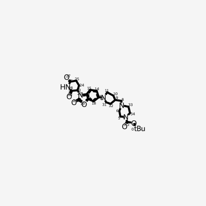 CC(C)(C)OC(=O)N1CCN(CC2CCN(c3ccc4c(c3)oc(=O)n4C3CCC(=O)NC3=O)CC2)CC1